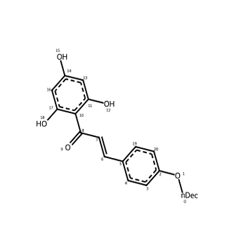 CCCCCCCCCCOc1ccc(/C=C/C(=O)c2c(O)cc(O)cc2O)cc1